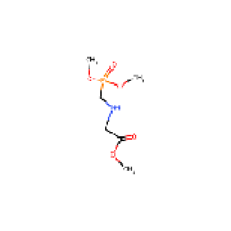 COC(=O)CNCP(=O)(OC)OC